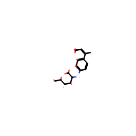 Cc1cc(=O)oc2cc(NC3C(O)OC(CO)[C@H](O)C3O)ccc12